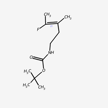 C/C(F)=C(\C)CCNC(=O)OC(C)(C)C